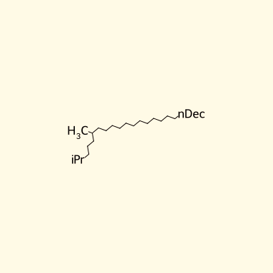 CCCCCCCCCCCCCCCCCCCCCCC(C)CCCC(C)C